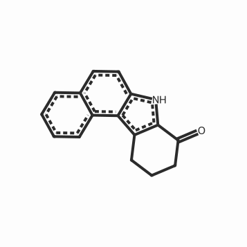 O=C1CCCc2c1[nH]c1ccc3ccccc3c21